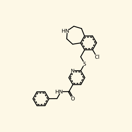 O=C(NCc1ccccc1)c1ccc(SCc2c(Cl)ccc3c2CCNCC3)nc1